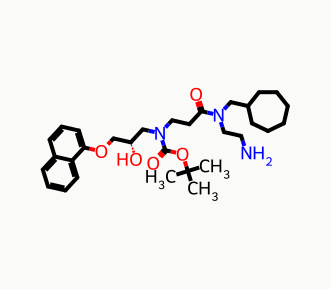 CC(C)(C)OC(=O)N(CCC(=O)N(CCN)CC1CCCCCC1)C[C@H](O)COc1cccc2ccccc12